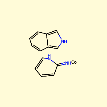 N=c1cccc[nH]1.[Co].c1ccc2c[nH]cc2c1